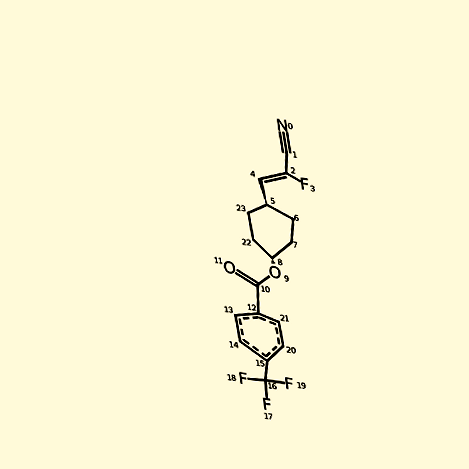 N#CC(F)=C[C@H]1CC[C@H](OC(=O)c2ccc(C(F)(F)F)cc2)CC1